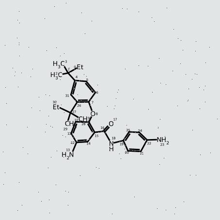 CCC(C)(C)c1ccc(Oc2ccc(N)cc2C(=O)Nc2ccc(N)cc2)c(C(C)(C)CC)c1